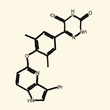 Cc1cc(-c2n[nH]c(=O)[nH]c2=O)cc(C)c1Oc1ccc2[nH]cc(C(C)C)c2n1